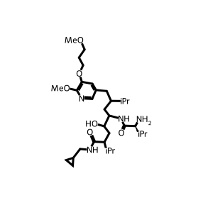 COCCCOc1cc(CC(CC(NC(=O)[C@@H](N)C(C)C)C(O)CC(C(=O)NCC2CC2)C(C)C)C(C)C)cnc1OC